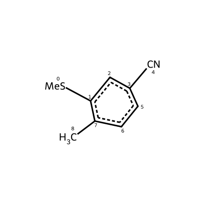 CSc1cc(C#N)ccc1C